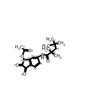 CC(=O)ON1C(=O)C(=O)c2ccc(NC(=O)C(C)(C)CC(C)(C)C)cc21